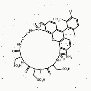 N=c1ccc2c(-c3c(Cl)ccc(Cl)c3C(=O)O)c3ccc(N)c4c3oc-2c1S(=O)(=O)NCCNC(=O)C(CS(=O)(=O)O)NC(=O)C(CS(=O)(=O)O)NC(=O)C(CS(=O)(=O)O)NS4(=O)=O